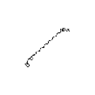 CCCCCCCCCCCCCCCCCCCCCCC=COCC1CO1